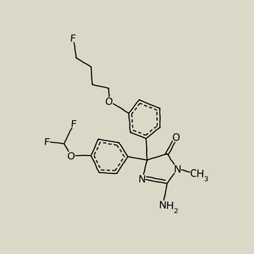 CN1C(=O)C(c2ccc(OC(F)F)cc2)(c2cccc(OCCCCF)c2)N=C1N